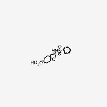 O=C(O)N1CCC2(CC1)C[C@@H](NS(=O)(=O)c1ccccc1)CO2